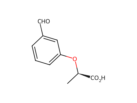 C[C@@H](Oc1cccc(C=O)c1)C(=O)O